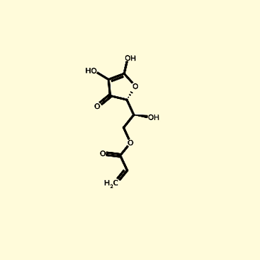 C=CC(=O)OC[C@H](O)[C@H]1OC(O)=C(O)C1=O